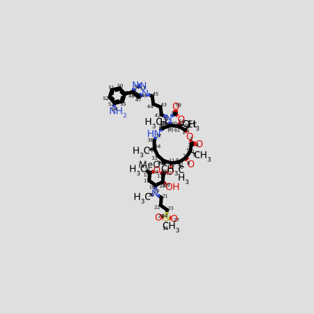 CC[C@H]1OC(=O)[C@H](C)C(=O)[C@H](C)[C@@H](O[C@@H]2OC(C)CC(N(C)CCCS(C)(=O)=O)C2O)[C@](C)(OC)C[C@@H](C)CN[C@H](C)[C@H]2N(CCCCn3cc(-c4cccc(N)c4)nn3)C(=O)O[C@]12C